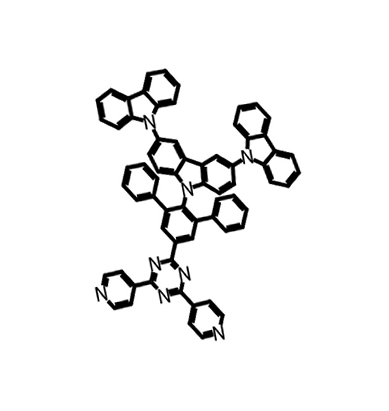 c1ccc(-c2cc(-c3nc(-c4ccncc4)nc(-c4ccncc4)n3)cc(-c3ccccc3)c2-n2c3ccc(-n4c5ccccc5c5ccccc54)cc3c3cc(-n4c5ccccc5c5ccccc54)ccc32)cc1